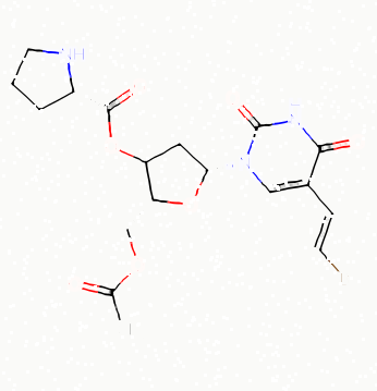 O=C(OC1C[C@H](n2cc(/C=C/Br)c(=O)[nH]c2=O)O[C@@H]1COC(=O)C(F)(F)F)[C@@H]1CCCN1